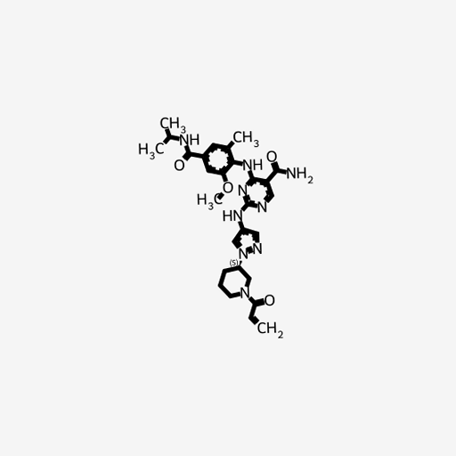 C=CC(=O)N1CCC[C@H](n2cc(Nc3ncc(C(N)=O)c(Nc4c(C)cc(C(=O)NC(C)C)cc4OC)n3)cn2)C1